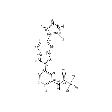 Cc1ccc(-c2cn3nc(-c4c(C)n[nH]c4C)ccc3n2)cc1NC(=O)C(C)(C)C